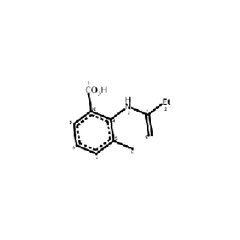 C=C(CC)Nc1c(C)cccc1C(=O)O